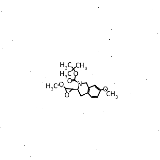 COc1ccc2c(c1)CN(C(=O)OC(C)(C)C)[C@H](C1OC1OC)C2